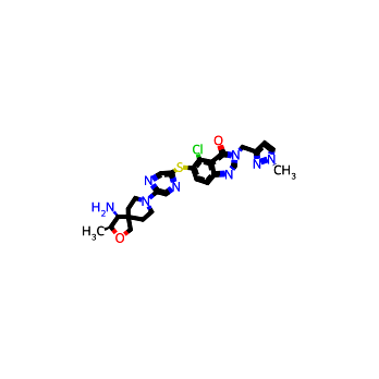 C[C@@H]1OCC2(CCN(c3cnc(Sc4ccc5ncn(Cc6ccn(C)n6)c(=O)c5c4Cl)cn3)CC2)[C@@H]1N